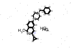 C[C@H](N)c1ccc(N2CCN(Cc3ccccc3)CC2)cc1/C=C/C1CC1.Cl.Cl